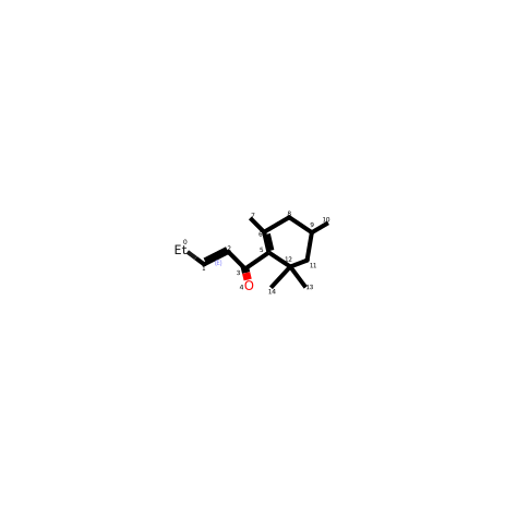 CC/C=C/C(=O)C1=C(C)CC(C)CC1(C)C